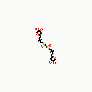 CC(C)(CCc1cc(=O)c(O)co1)CC[S+]([O-])CC[S+]([O-])CCC(C)(C)CCc1cc(=O)c(O)co1